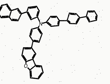 c1ccc(-c2ccc(-c3ccc(N(c4ccc(-c5ccc6oc7ccccc7c6c5)cc4)c4cccc(-c5ccc6ccccc6c5)c4)cc3)cc2)cc1